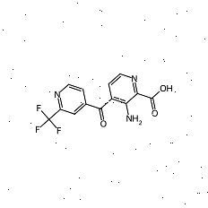 Nc1c(C(=O)c2ccnc(C(F)(F)F)c2)ccnc1C(=O)O